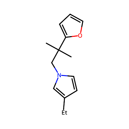 CCc1ccn(CC(C)(C)c2ccco2)c1